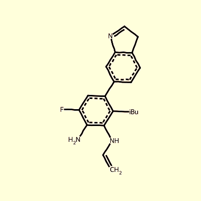 C=CNc1c(N)c(F)cc(-c2ccc3c(c2)N=CC3)c1C(C)CC